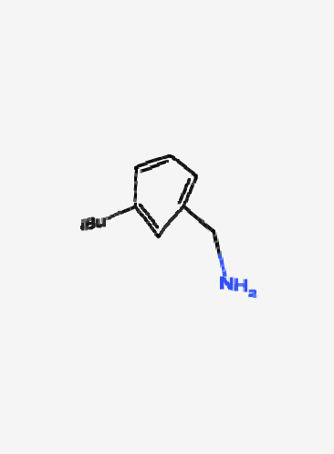 CCC(C)c1cccc(CN)c1